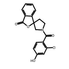 O=C1OC2(CCN(C(=O)c3ccc(O)cc3Cl)C2)c2ccccc21